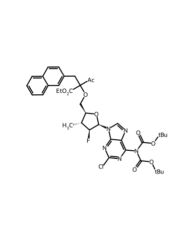 CCOC(=O)C(Cc1ccc2ccccc2c1)(OC[C@H]1O[C@@H](n2cnc3c(N(C(=O)OC(C)(C)C)C(=O)OC(C)(C)C)nc(Cl)nc32)[C@@H](F)[C@@H]1C)C(C)=O